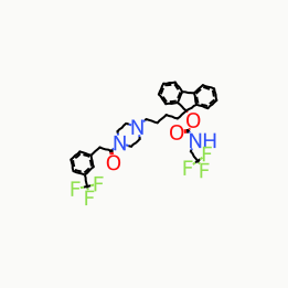 O=C(NCC(F)(F)F)OC1(CCCCN2CCN(C(=O)Cc3cccc(C(F)(F)F)c3)CC2)c2ccccc2-c2ccccc21